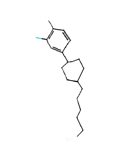 COCCCCCC1CCC(c2ccc(C(F)(F)F)c(F)c2)CC1